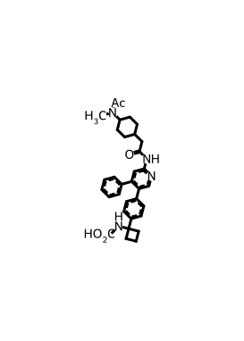 CC(=O)N(C)C1CCC(CC(=O)Nc2cc(-c3ccccc3)c(-c3ccc(C4(NC(=O)O)CCC4)cc3)cn2)CC1